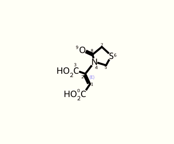 O=C(O)/C=C(\C(=O)O)N1CSCC1=O